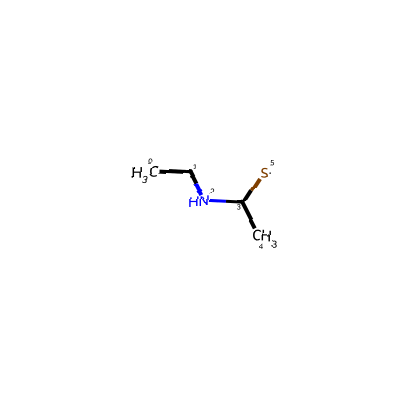 CCNC(C)[S]